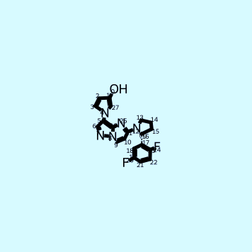 Oc1ccn(-c2cnn3ccc(N4CCC[C@@H]4c4cc(F)ccc4F)nc23)c1